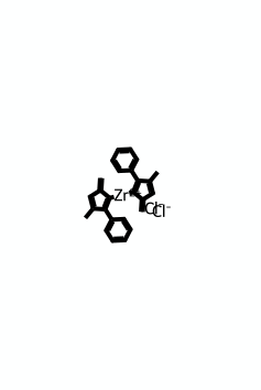 C=C1C=C(C)C(c2ccccc2)=[C]1[Zr+2][C]1=C(c2ccccc2)C(C)=CC1=C.[Cl-].[Cl-]